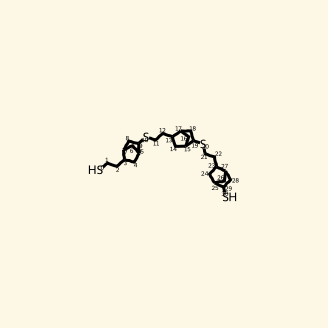 SCCC1CC2CC1CC2SCCC1CC2CC1CC2SCCC1CC2CC1CC2S